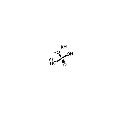 O=P(O)(O)O.[As].[KH]